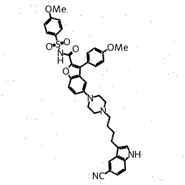 COc1ccc(-c2c(C(=O)NS(=O)(=O)c3ccc(OC)cc3)oc3ccc(N4CCN(CCCCc5c[nH]c6ccc(C#N)cc56)CC4)cc23)cc1